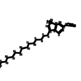 COc1ccc2c(CCCCCCCCCCCCCCO)c[nH]c2c1